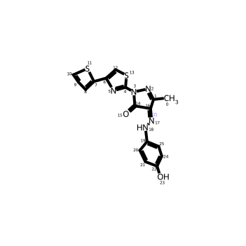 CC1=NN(c2nc(-c3cccs3)cs2)C(=O)/C1=N\Nc1ccc(O)cc1